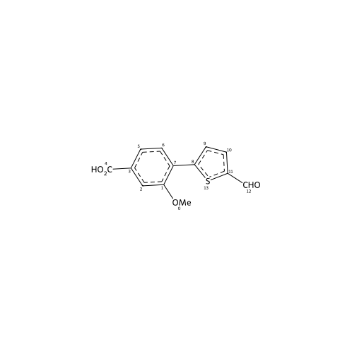 COc1cc(C(=O)O)ccc1-c1ccc(C=O)s1